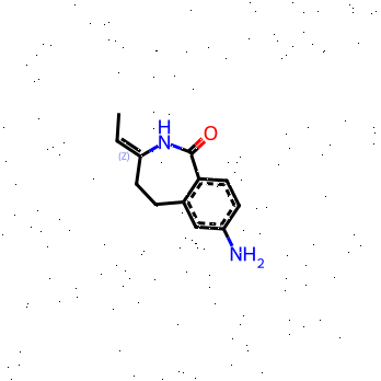 C/C=C1/CCc2cc(N)ccc2C(=O)N1